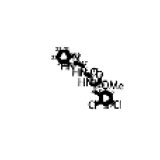 COC(=O)[C@H](Cc1ccc(Cl)cc1Cl)NC(=O)NCc1nc2ccccc2[nH]1